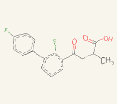 CC(CC(=O)c1cccc(-c2ccc(F)cc2)c1F)C(=O)O